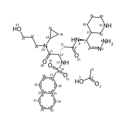 CC(=O)O.N/N=C\[C@@H](NC(=O)C[C@H](NS(=O)(=O)c1ccc2ccccc2c1)C(=O)N(CCCO)C1CC1)C1CCCNC1